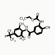 Cc1cc(C(F)(C(F)(F)F)C(F)(F)F)cc(C)c1NC(=O)c1ccc(C#N)c(NC(=O)OCC(Cl)(Cl)Cl)c1